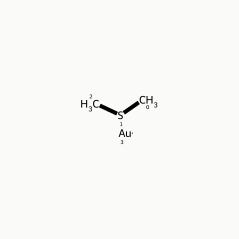 CSC.[Au]